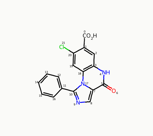 O=C(O)c1cc2[nH]c(=O)c3cnc(-c4ccccc4)n3c2cc1Cl